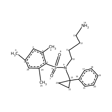 Cc1cc(C)c(S(=O)(=O)N(CCCCN)C2(c3ccccc3)CC2)c(C)c1